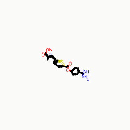 C/C(=C\c1ccc(C(=O)Oc2ccc(C(=N)N)cc2)s1)C(=O)O